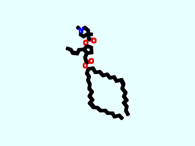 CC/C=C\CC1C(CC(=O)OC(CCCCCCCC/C=C\CCCCCCCC)CCCCCCCC/C=C\CCCCCCCC)CCC1OC(=O)C1(C)CCN(C)CC1